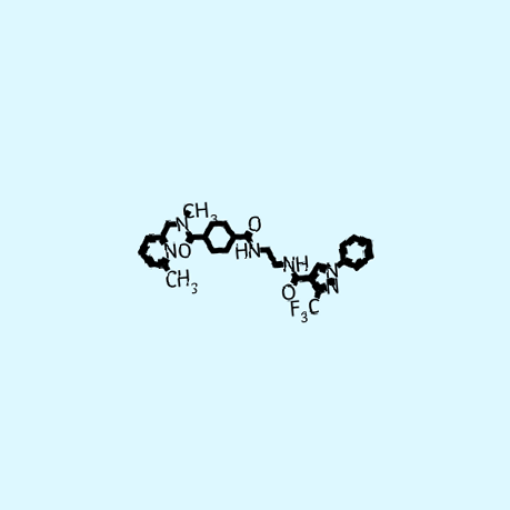 Cc1cccc(CN(C)C(=O)C2CCC(C(=O)NCCNC(=O)c3cn(-c4ccccc4)nc3C(F)(F)F)CC2)n1